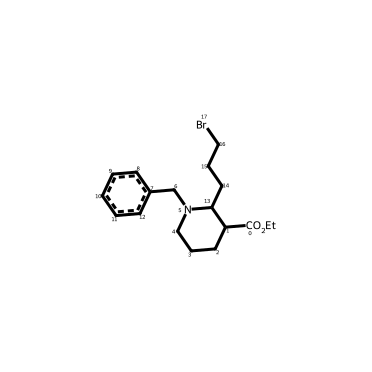 CCOC(=O)C1CCCN(Cc2ccccc2)C1CCCBr